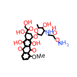 COc1cccc2c1C(=O)c1c(O)c3c(c(O)c1C2=O)C[C@@](O)(C(=O)CO)C[C@@H]3OC1CC(NCC(O)CON)C(O)C(C)O1